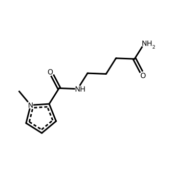 Cn1cccc1C(=O)NCCCC(N)=O